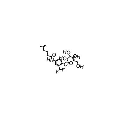 C=C(C)CCCC(=O)Nc1ccc(O[C@@H]2OC(CO)[C@H](O)C(O)C2O)c(C(F)F)c1